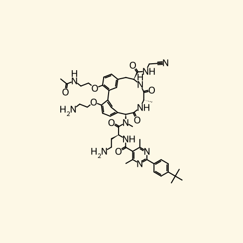 CC(=O)NCCOc1ccc2cc1-c1cc(ccc1OCCN)[C@H](N(C)C(=O)[C@H](CCN)NC(=O)c1c(C)nc(-c3ccc(C(C)(C)C)cc3)nc1C)C(=O)N[C@@H](C)C(=O)N[C@H](C(=O)NCC#N)C2